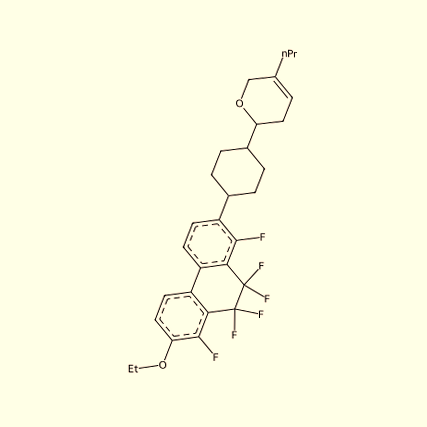 CCCC1=CCC(C2CCC(c3ccc4c(c3F)C(F)(F)C(F)(F)c3c-4ccc(OCC)c3F)CC2)OC1